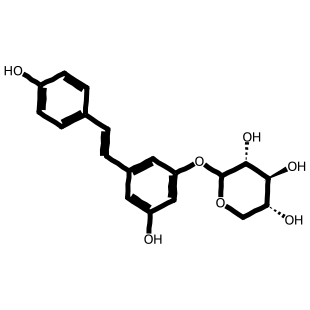 Oc1ccc(C=Cc2cc(O)cc(OC3OC[C@@H](O)[C@H](O)[C@H]3O)c2)cc1